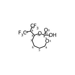 O=P1(O)OCCCCC(C(C(F)(F)F)C(F)(F)F)O1